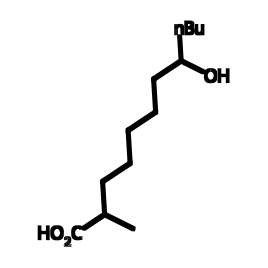 CCCCC(O)CCCCCC(C)C(=O)O